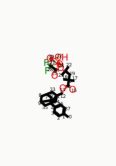 Cc1ccc(C23CC4CC(CC(COC(=O)C(C)(C)CC(C)(C)OC(=O)C(F)(F)S(=O)(=O)O)(C4)C2)C3)cc1